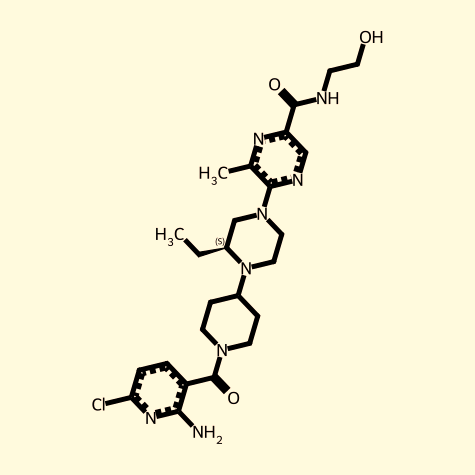 CC[C@H]1CN(c2ncc(C(=O)NCCO)nc2C)CCN1C1CCN(C(=O)c2ccc(Cl)nc2N)CC1